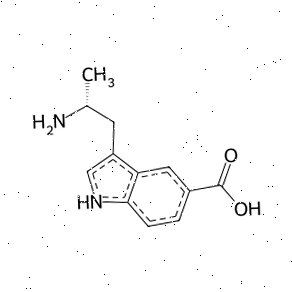 C[C@@H](N)Cc1c[nH]c2ccc(C(=O)O)cc12